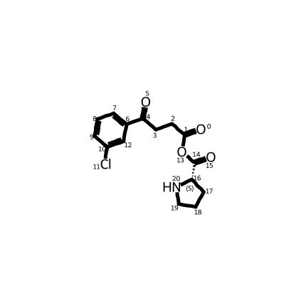 O=C(CCC(=O)c1cccc(Cl)c1)OC(=O)[C@@H]1CCCN1